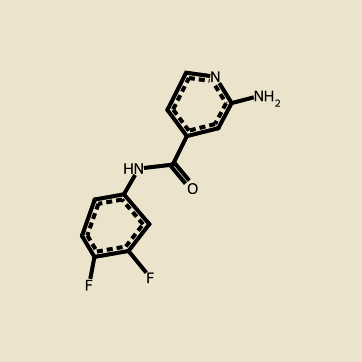 Nc1cc(C(=O)Nc2ccc(F)c(F)c2)ccn1